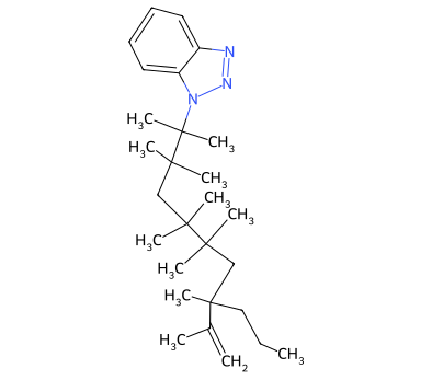 C=C(C)C(C)(CCC)CC(C)(C)C(C)(C)CC(C)(C)C(C)(C)n1nnc2ccccc21